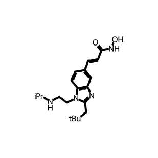 CC(C)NCCn1c(CC(C)(C)C)nc2cc(C=CC(=O)NO)ccc21